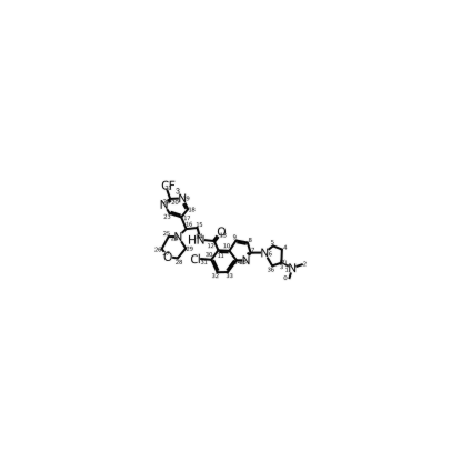 CN(C)[C@@H]1CCN(c2ccc3c(C(=O)NCC(c4cnc(C(F)(F)F)nc4)N4CCOCC4)c(Cl)ccc3n2)C1